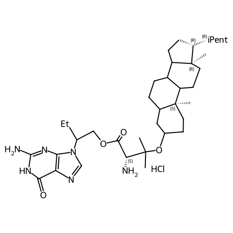 CCC[C@@H](C)[C@H]1CCC2C3CCC4CC(OC(C)(C)[C@H](N)C(=O)OCC(CC)n5cnc6c(=O)[nH]c(N)nc65)CC[C@]4(C)C3CC[C@@]21C.Cl